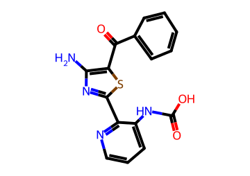 Nc1nc(-c2ncccc2NC(=O)O)sc1C(=O)c1ccccc1